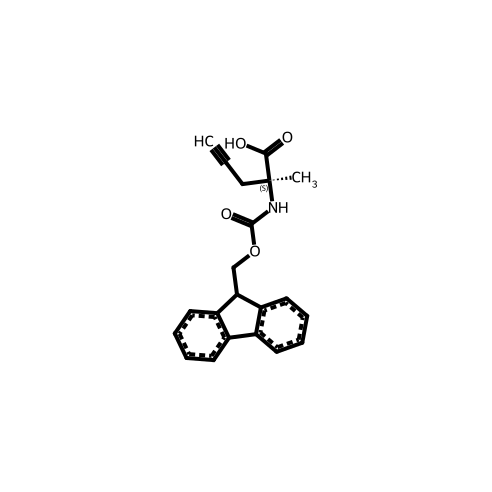 C#CC[C@](C)(NC(=O)OCC1c2ccccc2-c2ccccc21)C(=O)O